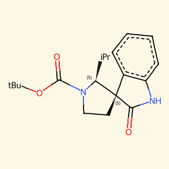 CC(C)[C@@H]1N(C(=O)OC(C)(C)C)CC[C@@]12C(=O)Nc1ccccc12